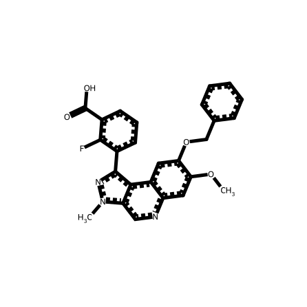 COc1cc2ncc3c(c(-c4cccc(C(=O)O)c4F)nn3C)c2cc1OCc1ccccc1